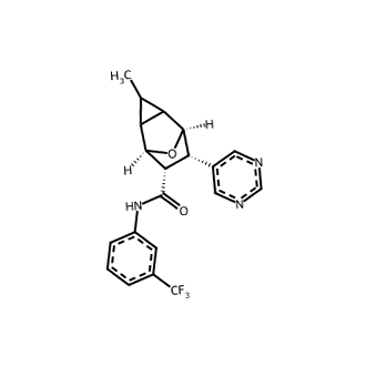 CC1C2C1[C@@H]1O[C@H]2[C@@H](C(=O)Nc2cccc(C(F)(F)F)c2)[C@H]1c1cncnc1